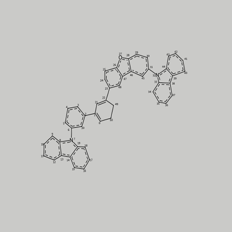 C1=C(c2cccc(-n3c4ccccc4c4ccccc43)c2)C=C(c2ccc3oc4ccc(-n5c6ccccc6c6ccccc65)cc4c3c2)CC1